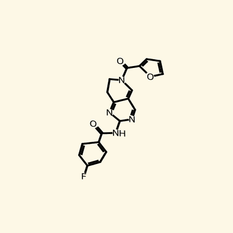 O=C(NC1N=CC2=CN(C(=O)c3ccco3)CCC2=N1)c1ccc(F)cc1